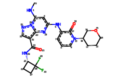 CNc1cc(Nc2cccn(C3CCCOC3)c2=O)nc2c(C(=O)N[C@H]3CCC3(F)F)cnn12